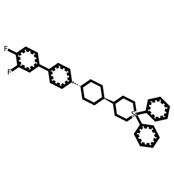 Fc1ccc(-c2ccc([C@H]3CC[C@H](C4CC[Si](c5ccccc5)(c5ccccc5)CC4)CC3)cc2)cc1F